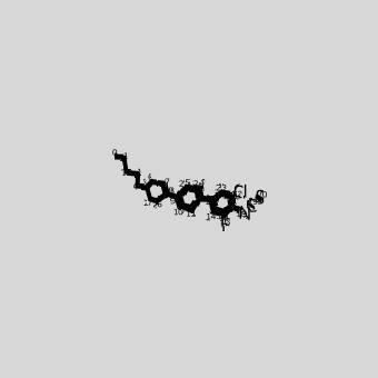 CCCCCC1CCC(c2ccc(-c3cc(F)c(N=C=S)c(Cl)c3)cc2)CC1